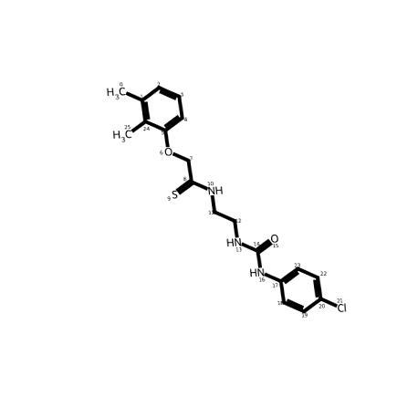 Cc1cccc(OCC(=S)NCCNC(=O)Nc2ccc(Cl)cc2)c1C